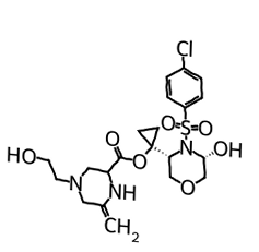 C=C1CN(CCO)CC(C(=O)OC2([C@H]3COC[C@@H](O)N3S(=O)(=O)c3ccc(Cl)cc3)CC2)N1